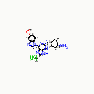 COc1ccc2c(c1)ncn2-c1nc(N[C@H]2CC[C@H](N)CC2)nc2[nH]cnc12.Cl.Cl